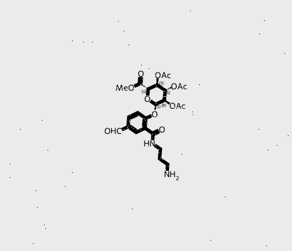 COC(=O)[C@H]1O[C@@H](Oc2ccc(C=O)cc2C(=O)NCCCN)[C@H](OC(C)=O)[C@@H](OC(C)=O)[C@@H]1OC(C)=O